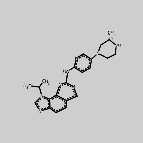 CC(C)n1cnc2ccc3cnc(Nc4ccc(N5CCN[C@@H](C)C5)cn4)nc3c21